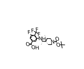 C[C@@H]1CN(C(=O)OC(C)(C)C)CC[C@@H]1[C@H](C)Nc1cc(C(=O)O)cc(F)c1C(F)(F)F